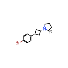 C[C@H]1CCCN1[C@H]1C[C@H](c2ccc(Br)cc2)C1